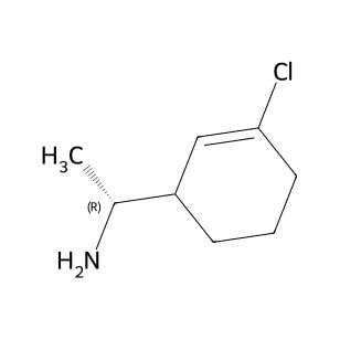 C[C@@H](N)C1C=C(Cl)CCC1